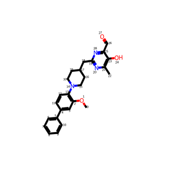 COc1cc(-c2ccccc2)ccc1N1CCC(Cc2nc(C)c(O)c([C]=O)n2)CC1